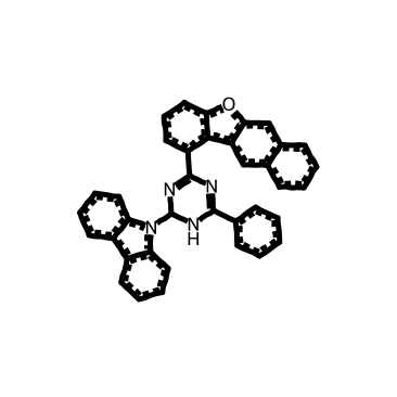 c1ccc(C2=NC(c3cccc4oc5cc6ccccc6cc5c34)=NC(n3c4ccccc4c4ccccc43)N2)cc1